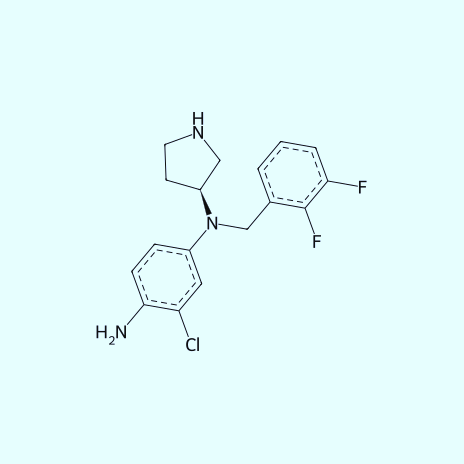 Nc1ccc(N(Cc2cccc(F)c2F)[C@H]2CCNC2)cc1Cl